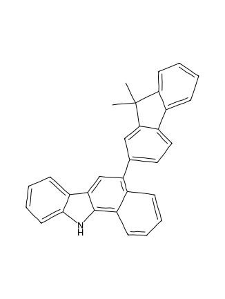 CC1(C)c2ccccc2-c2ccc(-c3cc4c5ccccc5[nH]c4c4ccccc34)cc21